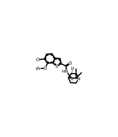 CC(C)Oc1c(Cl)ccc2cc(C(=O)N[C@@H]3C4CCN(CC4)C3(C)C)sc12